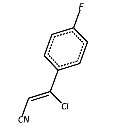 N#CC=C(Cl)c1ccc(F)cc1